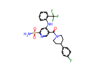 NS(=O)(=O)c1cc(Nc2ccccc2C(F)(F)F)c(C(=O)N2CCC(c3ccc(F)cc3)CC2)cn1